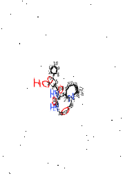 O=C(O)C[C@@H](CCc1ccccc1)C(=O)NC1Cc2ccccccn(c2)CCOCCNC1=O